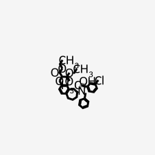 CCOC(=O)C(Oc1ccc2c(c1)CC(N(Cc1ccccc1)[C@](C)(O)c1cccc(Cl)c1)CCC2)C(=O)OCC